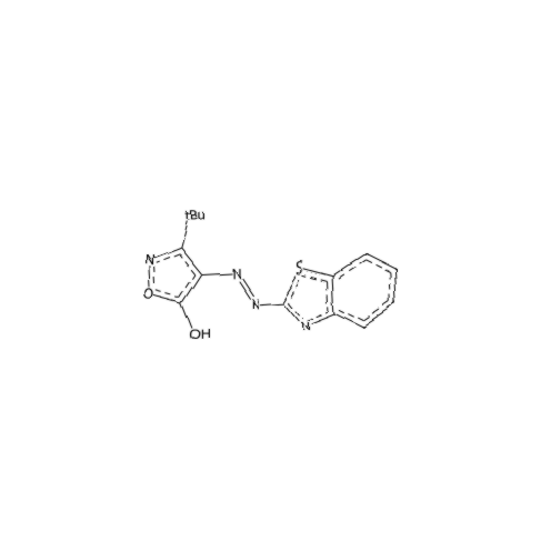 CC(C)(C)c1noc(O)c1N=Nc1nc2ccccc2s1